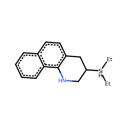 CC[SiH](CC)C1CNc2c(ccc3ccccc23)C1